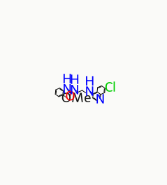 COc1ccccc1NC(=O)NCCCNc1ccnc2cc(Cl)ccc12